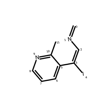 C=N/C=C(/I)c1cccnc1C